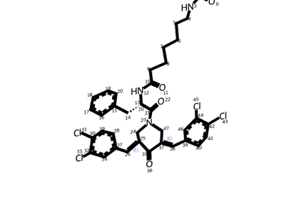 O=C(O)NCCCCCCC(=O)N[C@@H](Cc1ccccc1)C(=O)N1C/C(=C\c2ccc(Cl)c(Cl)c2)C(=O)/C(=C/c2ccc(Cl)c(Cl)c2)C1